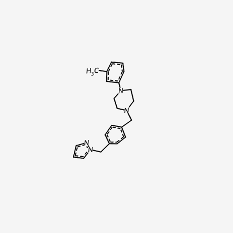 Cc1cccc(N2CCN(Cc3ccc(Cn4cccn4)cc3)CC2)c1